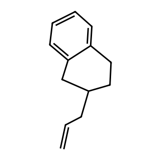 C=CCC1CCc2ccccc2C1